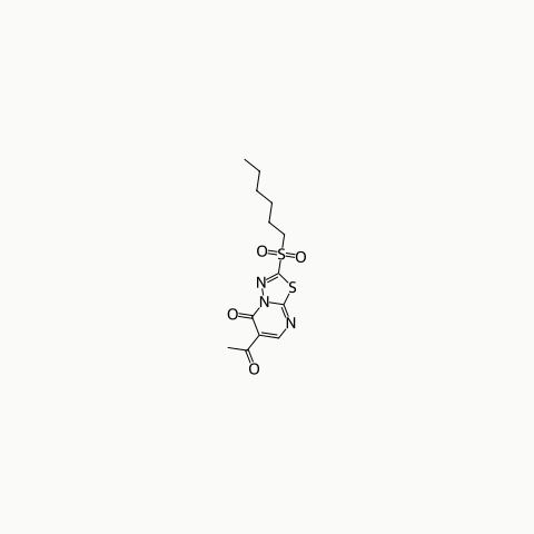 CCCCCCS(=O)(=O)c1nn2c(=O)c(C(C)=O)cnc2s1